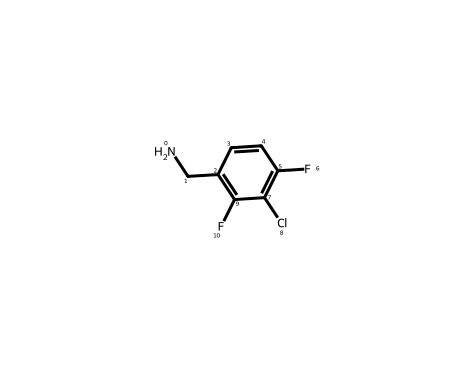 NCc1ccc(F)c(Cl)c1F